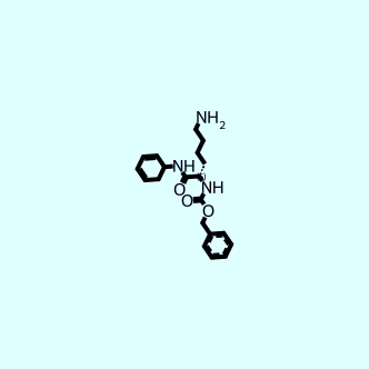 NCCCC[C@H](NC(=O)OCc1ccccc1)C(=O)NC1C=CC=CC1